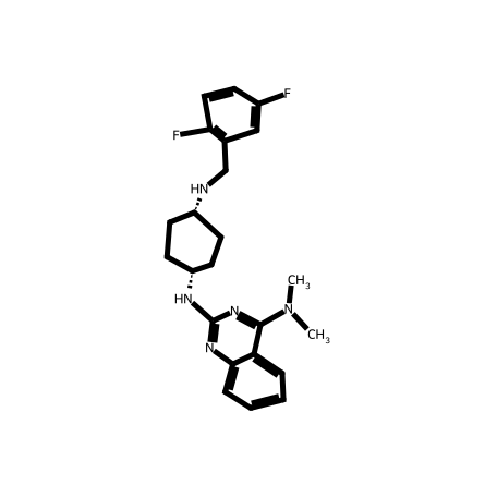 CN(C)c1nc(N[C@H]2CC[C@@H](NCc3cc(F)ccc3F)CC2)nc2ccccc12